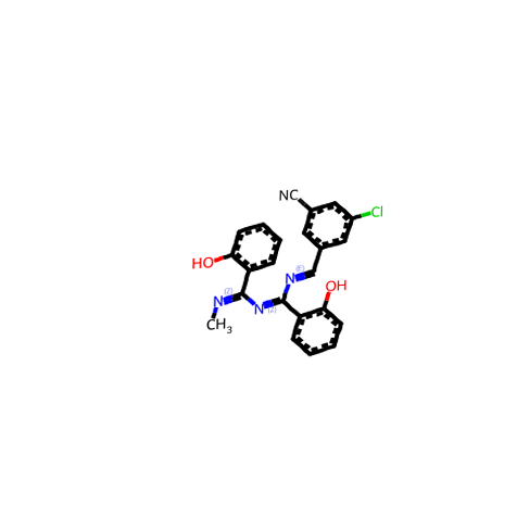 C\N=C(/N=C(\N=C\c1cc(Cl)cc(C#N)c1)c1ccccc1O)c1ccccc1O